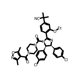 CCOc1cc(C(C)(C)C#N)ccc1C1=N[C@@H](c2ccc(Cl)cc2)[C@@H](c2ccc(Cl)cc2)N1C(=O)N1CCN(C(=O)c2c(C)noc2C)CC1